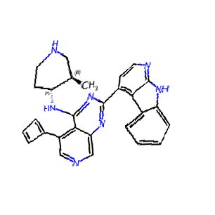 C[C@@H]1CNCC[C@H]1Nc1nc(-c2ccnc3[nH]c4ccccc4c23)nc2cncc(C3=CC=C3)c12